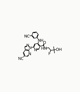 CC(C)(O)C(F)CNC(=O)c1cnc(-n2ncc3cc(C#N)cnc32)cc1Nc1cccc(C#N)c1